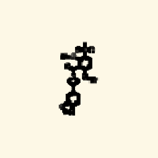 COc1c(S(C)(=O)=O)ccc(OC(C)C)c1C(=O)N1CC(c2ccc3ncoc3c2)C1